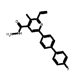 C=Cc1nc(-c2ccc(-c3ccc(F)cc3)cc2)cc(C(=O)NN)c1C